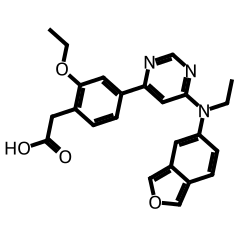 CCOc1cc(-c2cc(N(CC)c3ccc4cocc4c3)ncn2)ccc1CC(=O)O